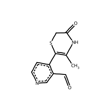 CC1=C(c2ccncc2C=O)SCC(=O)N1